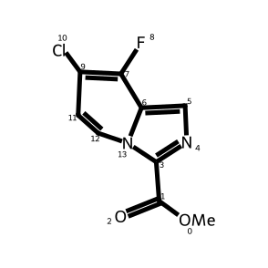 COC(=O)c1ncc2c(F)c(Cl)ccn12